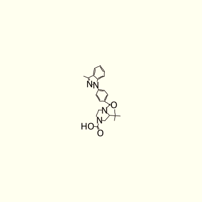 Cc1nn(-c2ccc(C(=O)N3CCN(C(=O)O)CC3C(C)(C)C)cc2)c2ccccc12